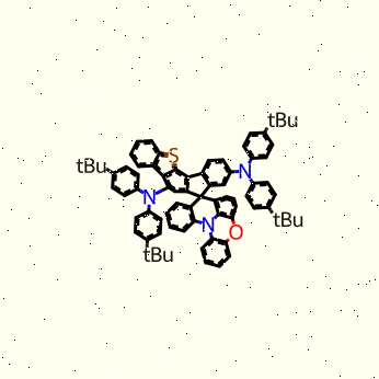 CC(C)(C)c1ccc(N(c2ccc(C(C)(C)C)cc2)c2ccc3c(c2)C2(c4ccccc4N4c5ccccc5Oc5cccc2c54)c2cc(N(c4ccc(C(C)(C)C)cc4)c4ccc(C(C)(C)C)cc4)c4c(sc5ccccc54)c2-3)cc1